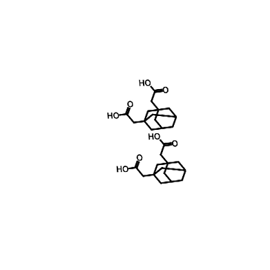 O=C(O)CC12CC3CC(C1)CC(CC(=O)O)(C3)C2.O=C(O)CC12CC3CC(C1)CC(CC(=O)O)(C3)C2